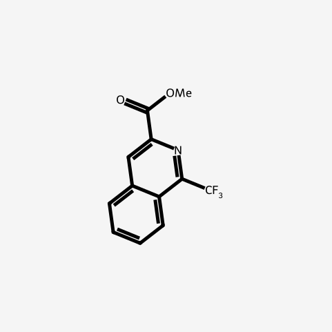 COC(=O)c1cc2ccccc2c(C(F)(F)F)n1